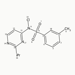 Cc1cccc(S(=O)(=O)N(Cl)c2ccnc(C(C)C)n2)c1